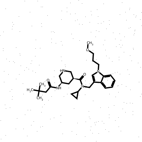 COCCCn1cc(CN(C(=O)[C@@H]2CNC[C@H](NC(=O)CC(C)(C)C)C2)C2CC2)c2ccccc21